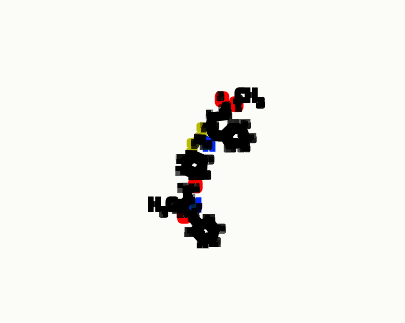 COC(=O)CCc1sc(Sc2ccc(OCc3nc(-c4ccccc4)oc3C)cc2)nc1-c1ccccc1